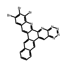 Brc1cc2cc3c4cc5ccccc5cc4c4cc5nnnnc5nc4c3nc2c(Br)c1Br